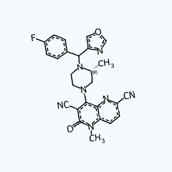 C[C@@H]1CN(c2c(C#N)c(=O)n(C)c3ccc(C#N)nc23)CCN1C(c1ccc(F)cc1)c1cocn1